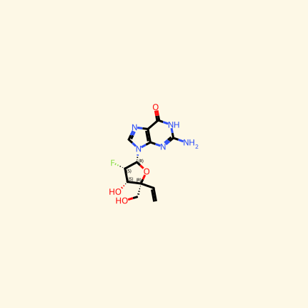 C=C[C@]1(CO)O[C@@H](n2cnc3c(=O)[nH]c(N)nc32)[C@@H](F)[C@H]1O